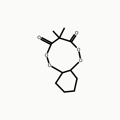 CC1(C)C(=O)OOC2CCCCC2OOC1=O